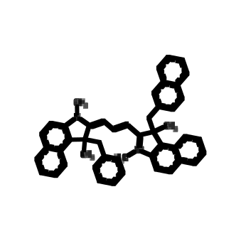 CN1/C(=C/C=C/C2=[N+](C)c3ccc4ccccc4c3C2(C)Cc2ccc3ccccc3c2)C(C)(Cc2ccccc2)c2c1ccc1ccccc21